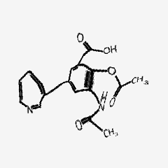 CC(=O)Nc1cc(-c2cccnc2)cc(C(=O)O)c1OC(C)=O